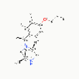 CCCOc1ccc([C@H](C)N2C[C@@H]3C[C@H]2CN3)c(C)c1C